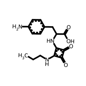 CCCNc1c(NC(Cc2ccc(N)cc2)C(=O)O)c(=O)c1=O